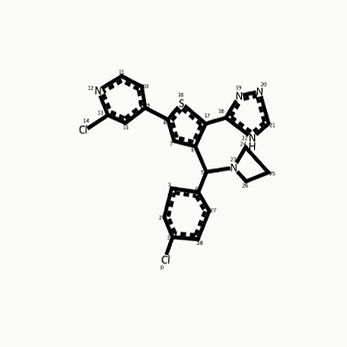 Clc1ccc(C(c2cc(-c3ccnc(Cl)c3)sc2-c2nnc[nH]2)N2CCC2)cc1